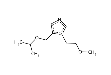 COCCn1cncc1COC(C)C